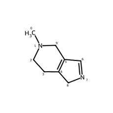 CN1CCC2=C(C=NC2)C1